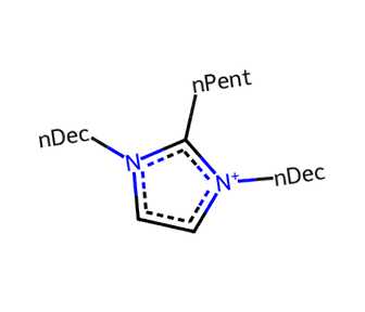 CCCCCCCCCCn1cc[n+](CCCCCCCCCC)c1CCCCC